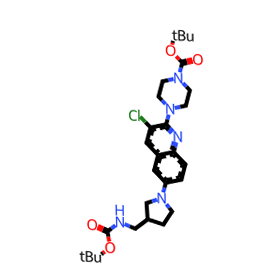 CC(C)(C)OC(=O)NCC1CCN(c2ccc3nc(N4CCN(C(=O)OC(C)(C)C)CC4)c(Cl)cc3c2)C1